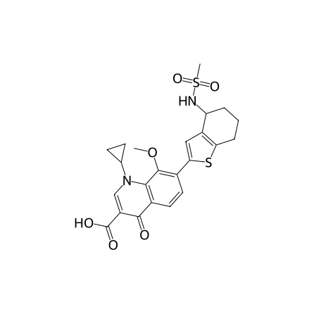 COc1c(-c2cc3c(s2)CCCC3NS(C)(=O)=O)ccc2c(=O)c(C(=O)O)cn(C3CC3)c12